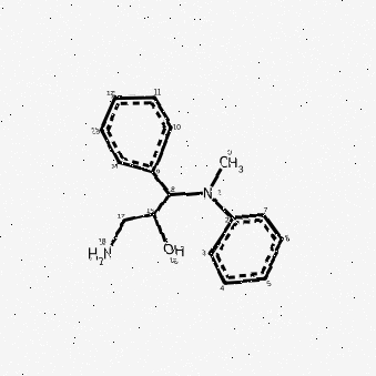 CN(c1ccccc1)C(c1ccccc1)C(O)CN